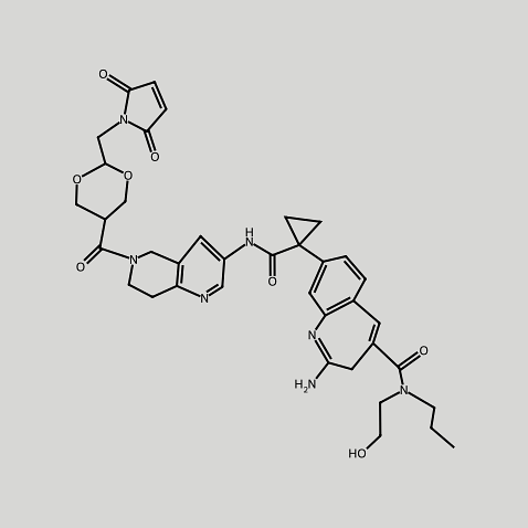 CCCN(CCO)C(=O)C1=Cc2ccc(C3(C(=O)Nc4cnc5c(c4)CN(C(=O)C4COC(CN6C(=O)C=CC6=O)OC4)CC5)CC3)cc2N=C(N)C1